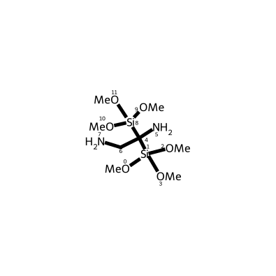 CO[Si](OC)(OC)C(N)(CN)[Si](OC)(OC)OC